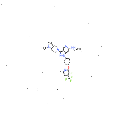 CCNc1cc2c(cn1)c(N1CCC(N(C)C)CC1)nn2C1CCC(Oc2nccc(C(F)(F)F)c2F)CC1